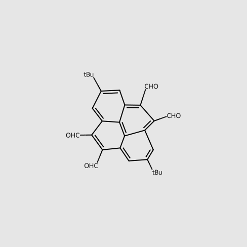 CC(C)(C)c1cc2c(C=O)c(C=O)c3cc(C(C)(C)C)cc4c(C=O)c(C=O)c(c1)c2c34